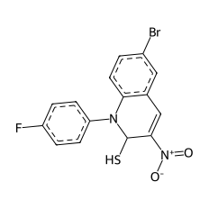 O=[N+]([O-])C1=Cc2cc(Br)ccc2N(c2ccc(F)cc2)C1S